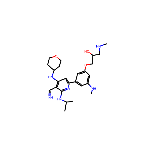 CNCC(O)COc1cc(NC)cc(-c2cc(NC3CCOCC3)c(C=N)c(NC(C)C)n2)c1